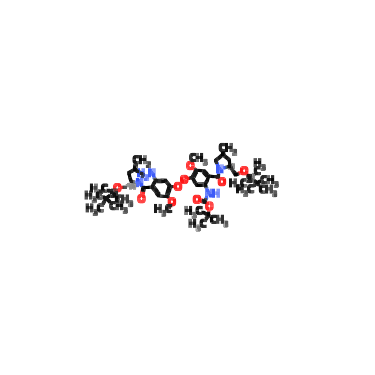 C=C1C[C@@H](CO[Si](C)(C)C(C)(C)C)N(C(=O)c2cc(OC)c(OOc3cc(NC(=O)OC(C)(C)C)c(C(=O)N4CC(=C)C[C@H]4CO[Si](C)(C)C(C)(C)C)cc3OC)cc2N)C1